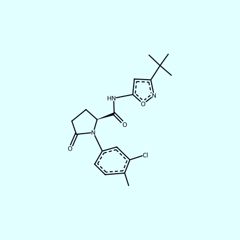 Cc1ccc(N2C(=O)CC[C@H]2C(=O)Nc2cc(C(C)(C)C)no2)cc1Cl